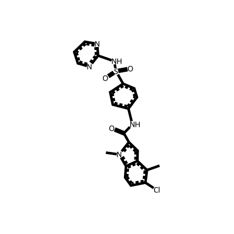 Cc1c(Cl)ccc2c1cc(C(=O)Nc1ccc(S(=O)(=O)Nc3ncccn3)cc1)n2C